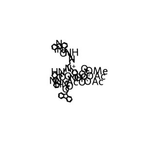 COC(=O)[C@H]1O[C@@H](Oc2ccc(C[N+](C)(CCCN(C)CCNC(=O)c3cccc4nc5cccc(C)c5nc34)CCNC(=O)c3cccc4nc5cccc(C)c5nc34)cc2NC(=O)CCNC(=O)OCC2c3ccccc3-c3ccccc32)[C@@H](OC(C)=O)[C@H](OC(C)=O)[C@@H]1OC(C)=O